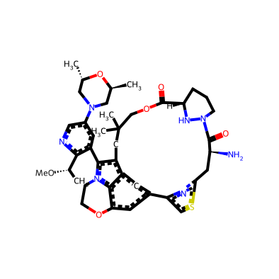 CO[C@@H](C)c1ncc(N2C[C@H](C)O[C@@H](C)C2)cc1-c1c2c3cc(cc4c3n1CCO4)-c1csc(n1)C[C@H](N)C(=O)N1CCC[C@H](N1)C(=O)OCC(C)(C)C2